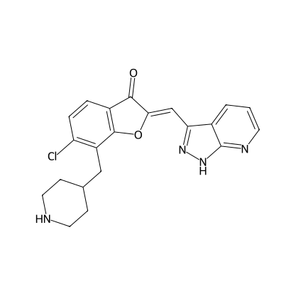 O=C1/C(=C/c2n[nH]c3ncccc23)Oc2c1ccc(Cl)c2CC1CCNCC1